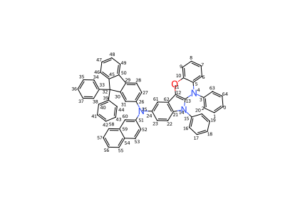 c1ccc(N2c3ccccc3Oc3c2n(-c2ccccc2)c2ccc(N(c4ccc5c(c4)C(c4ccccc4)(c4ccccc4)c4ccccc4-5)c4ccc5ccccc5c4)cc32)cc1